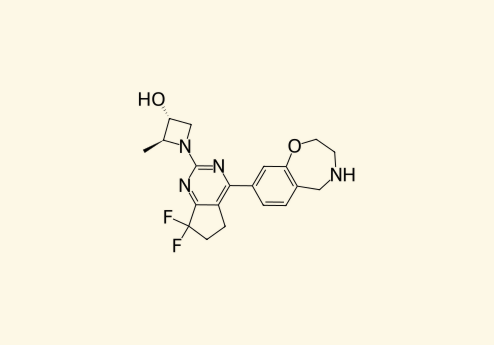 C[C@H]1[C@H](O)CN1c1nc(-c2ccc3c(c2)OCCNC3)c2c(n1)C(F)(F)CC2